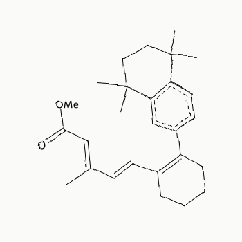 COC(=O)C=C(C)C=CC1=C(c2ccc3c(c2)C(C)(C)CCC3(C)C)CCCC1